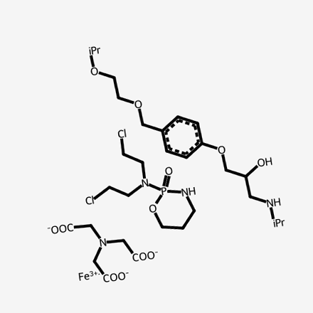 CC(C)NCC(O)COc1ccc(COCCOC(C)C)cc1.O=C([O-])CN(CC(=O)[O-])CC(=O)[O-].O=P1(N(CCCl)CCCl)NCCCO1.[Fe+3]